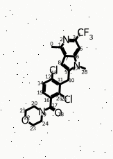 Cc1nc(C(F)(F)F)cc2c1cc(Cc1c(Cl)ccc(C(=O)N3CCOCC3)c1Cl)n2C